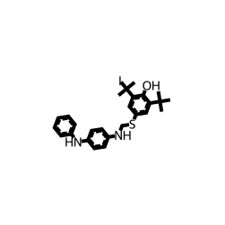 CC(C)(C)c1cc(SCNc2ccc(Nc3ccccc3)cc2)cc(C(C)(C)I)c1O